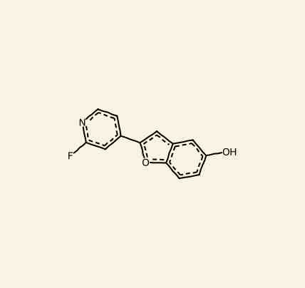 Oc1ccc2oc(-c3ccnc(F)c3)cc2c1